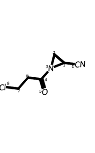 N#CC1CN1C(=O)CCCl